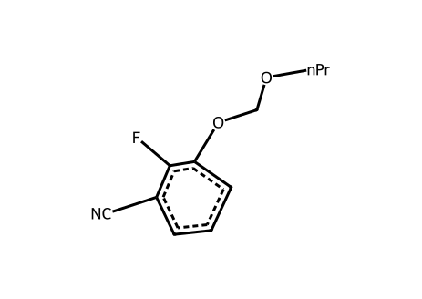 CCCOCOc1cccc(C#N)c1F